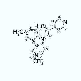 Cc1ccc2c(c1)c1c(n2CC(C)c2ccncc2)CC2CCC1N2C